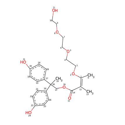 CC(OCCOCCOCCO)=C(C)C(=O)OCC(C)(c1ccc(O)cc1)c1ccc(O)cc1